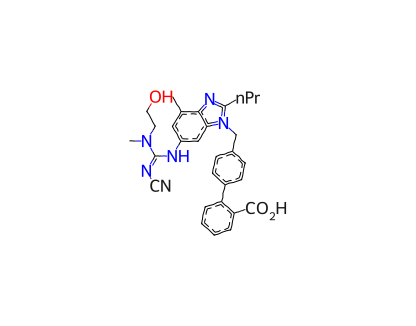 CCCc1nc2c(C)cc(N/C(=N\C#N)N(C)CCO)cc2n1Cc1ccc(-c2ccccc2C(=O)O)cc1